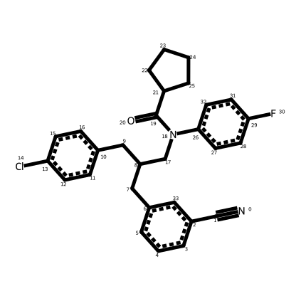 N#Cc1cccc(CC(Cc2ccc(Cl)cc2)CN(C(=O)C2CCCC2)c2ccc(F)cc2)c1